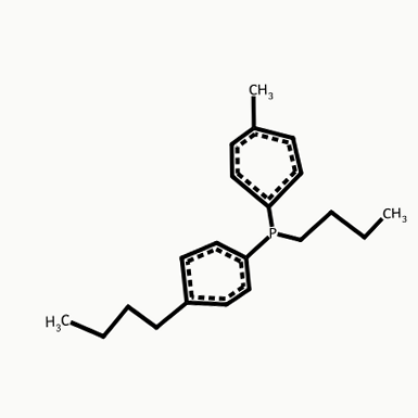 CCCCc1ccc(P(CCCC)c2ccc(C)cc2)cc1